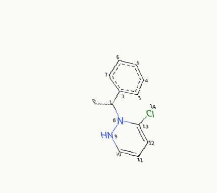 CC(c1ccccc1)N1NC=CC=C1Cl